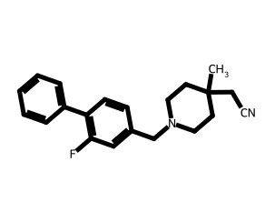 CC1(CC#N)CCN(Cc2ccc(-c3ccccc3)c(F)c2)CC1